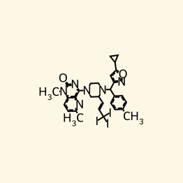 Cc1ccc(C(c2cc(C3CC3)on2)N2CCN(c3nc(=O)n(C)c4ccc(C)nc34)CC2C=CC(I)(I)I)cc1